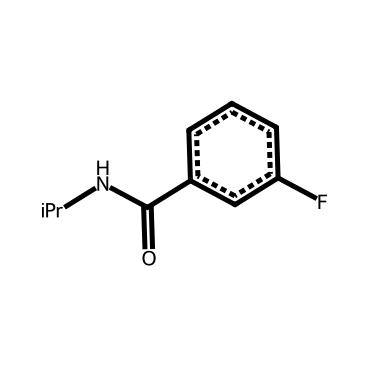 CC(C)NC(=O)c1cccc(F)c1